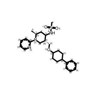 C[C@H]1CC(NS(C)(=O)=O)[C@H](COC2CCC(c3ccccc3)CC2)CN1c1ccccn1